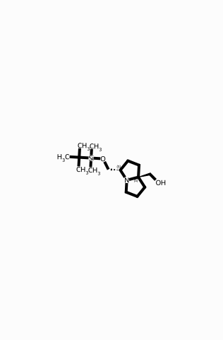 CC(C)(C)[Si](C)(C)OC[C@@H]1CC[C@]2(CO)CCCN12